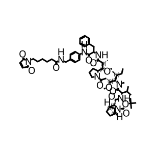 CC[C@H](C)[C@@H]([C@@H](CC(=O)N1CCCC1[C@H](OC)[C@@H](C)C(=O)NC(Cc1ccccc1)C(=O)Nc1ccc(CNC(=O)CCCCCN2C(=O)C=CC2=O)cc1)OC)N(C)C(=O)C(NC(=O)[C@@H]1[C@H]2CC[C@H](C2)N1C(=O)OC(C)(C)C)C(C)C